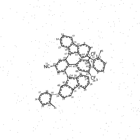 Cc1ccccc1-c1ccc2c3ccccc3n(-c3cc(C#N)cc(-n4c5ccccc5c5ccc(-c6ccccc6C)cc54)c3-c3cc(C(F)(F)F)cc(C(F)(F)F)c3)c2c1